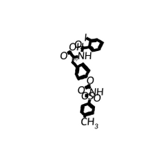 Cc1ccc(S(=O)(=O)NC(=O)Oc2ccc(C[C@H](NC(=O)c3ccccc3I)C(=O)O)cc2)cc1